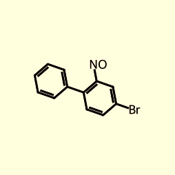 O=Nc1cc(Br)ccc1-c1ccccc1